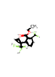 CCOC(=O)c1c(C(F)F)cccc1C1(C(F)(F)F)CC1